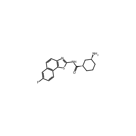 N[C@H]1CCC[C@@H](C(=O)Nc2nc3ccc4cc(F)ccc4c3s2)C1